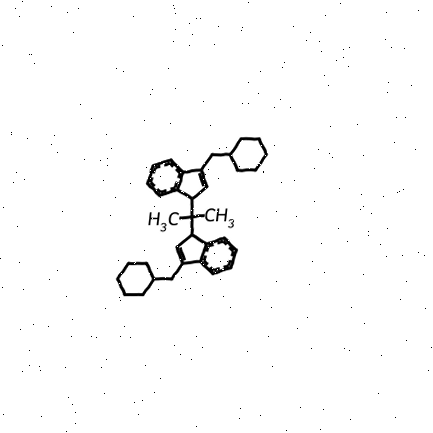 CC(C)(C1C=C(CC2CCCCC2)c2ccccc21)C1C=C(CC2CCCCC2)c2ccccc21